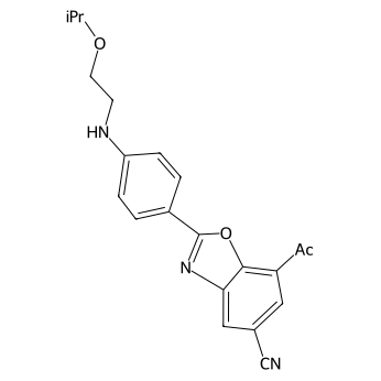 CC(=O)c1cc(C#N)cc2nc(-c3ccc(NCCOC(C)C)cc3)oc12